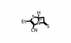 CCC1=C(C#N)N2C(=S)C[C@H]2S1